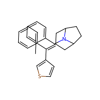 Cc1ccccc1CN1C2CCC1CC(=C(c1ccccc1)c1ccsc1)C2